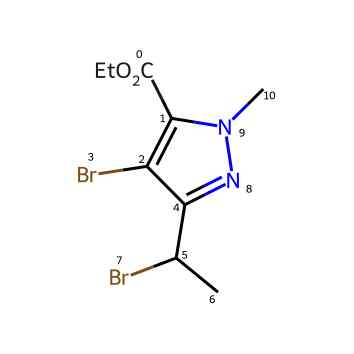 CCOC(=O)c1c(Br)c(C(C)Br)nn1C